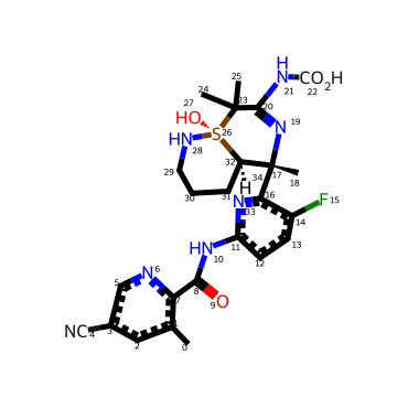 Cc1cc(C#N)cnc1C(=O)Nc1ccc(F)c([C@@]2(C)N=C(NC(=O)O)C(C)(C)[S@]3(O)NCCC[C@H]23)n1